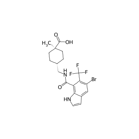 C[C@]1(C(=O)O)CC[C@H](CNC(=O)c2c(C(F)(F)F)c(Br)cc3cc[nH]c23)CC1